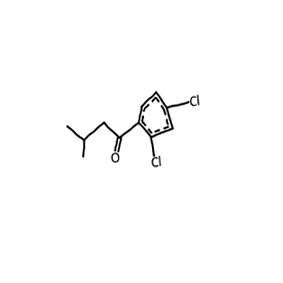 CC(C)CC(=O)c1ccc(Cl)cc1Cl